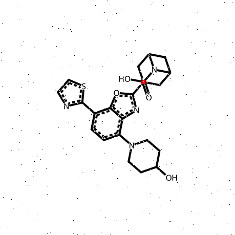 O=C(O)N1C2CC1CN(c1nc3c(N4CCC(O)CC4)ccc(-c4nccs4)c3o1)C2